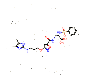 Cc1nc(NCCCOc2cc(C(=O)NCC(NS(=O)(=O)c3ccccc3)C(=O)O)on2)[nH]c1C